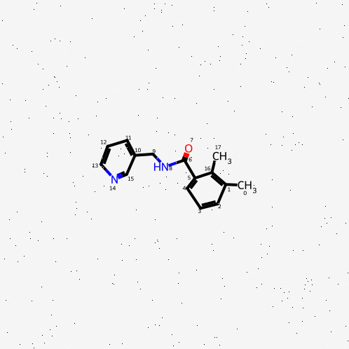 Cc1cccc(C(=O)NCc2cccnc2)c1C